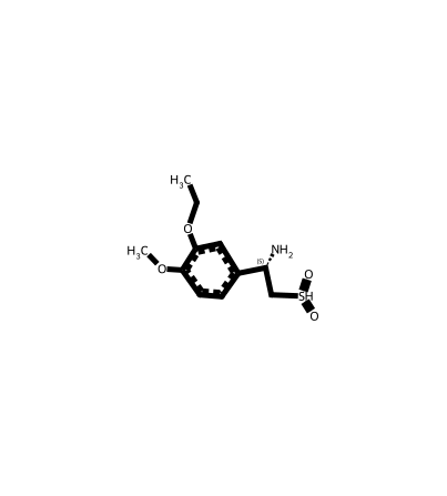 CCOc1cc([C@H](N)C[SH](=O)=O)ccc1OC